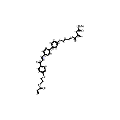 C=CC(=O)OCCOc1ccc(C(=O)/C=C/c2ccc(-c3ccc(OCCCOC(=O)C(=C)CC(=O)OC)cc3)cc2)cc1